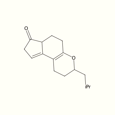 CC(C)CC1CCC2=C(CCC3C(=O)CC=C23)O1